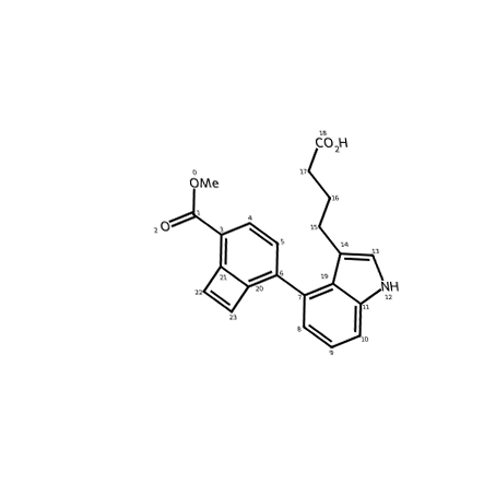 COC(=O)c1ccc(-c2cccc3[nH]cc(CCCC(=O)O)c23)c2c1C=C2